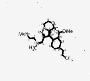 CNCCN(C)Cc1nn2c(c1C1CCC(CCC(F)(F)F)CC1C(C)OC)COCC2